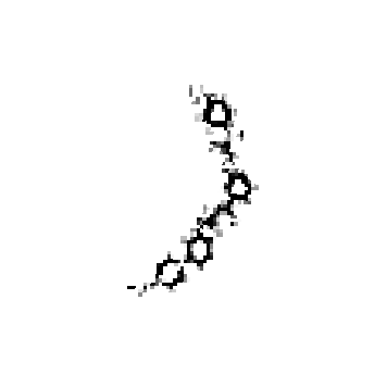 CN1CCN(C2CCc3nc(NC(=O)c4cccc(OCC(=O)Nc5ccc(N)cc5)c4)sc3C2)CC1